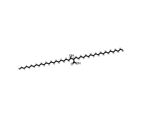 CCCCCCCCCCCCCCCCCCCCCC(O)C(CCCCCCCCCCCCCCCCCCCC)C(=O)O